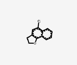 Clc1cc2c(c3ccccc13)O[CH]C2